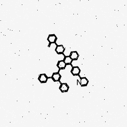 C=C1CC=CC=C1C1CC=C(c2c3c(c(C4=CC=C(C5=NC=CCC5)CC4)c4cc(-c5cc(-c6ccccc6)cc(-c6ccccc6)c5)ccc24)=CCCC=3)CC1